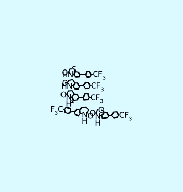 O=C1CCCc2cc(-c3ccc(C(F)(F)F)cc3)ccc2N1.O=C1CCc2cc(-c3ccc(C(F)(F)F)cc3)cc(F)c2N1.O=C1CCc2cc(-c3ccc(C(F)(F)F)cc3)ccc2N1.O=C1COc2cc(-c3ccc(C(F)(F)F)cc3)ccc2N1.O=C1CSc2cc(-c3ccc(C(F)(F)F)cc3)ccc2N1